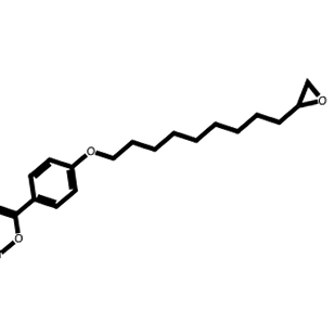 O=C(OI)c1ccc(OCCCCCCCCCC2CO2)cc1